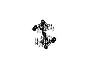 CN[C@@H](C)C(=O)N[C@H](C(=O)N1C[C@@H](NC(=O)c2ccc(C(=O)N[C@H]3C[C@@H](C(=O)N[C@H]4CCC5C=CC=CC54)N(C(=O)[C@@H](NC(=O)[C@H](C)NC)C4CCCCC4)C3)cc2)C[C@H]1C(=O)N[C@H]1CCc2ccccc21)C1CCCCC1